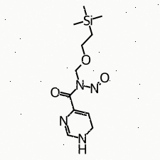 C[Si](C)(C)CCOCN(N=O)C(=O)C1=CCNC=N1